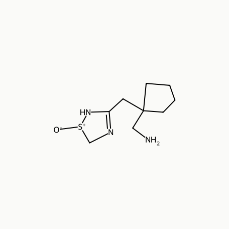 NCC1(CC2=NC[S+]([O-])N2)CCCC1